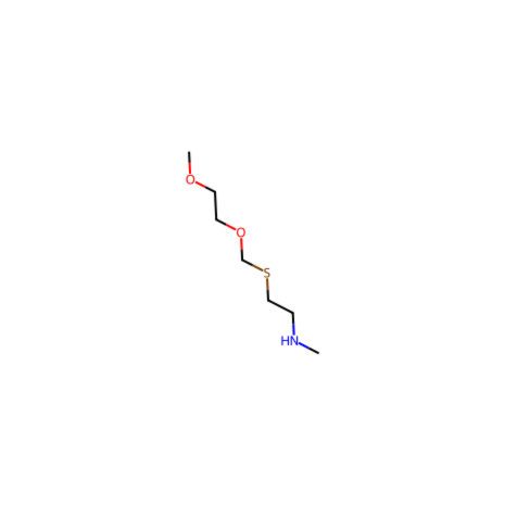 CNCCSCOCCOC